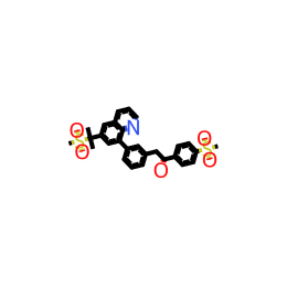 CC(C)(c1cc(-c2cccc(CC(=O)c3ccc(S(C)(=O)=O)cc3)c2)c2ncccc2c1)S(C)(=O)=O